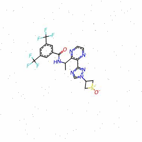 CC(NC(=O)c1cc(C(F)(F)F)cc(C(F)(F)F)c1)c1nccnc1-c1ncn(C2C[S+]([O-])C2)n1